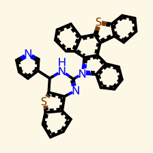 c1cncc(C2NC(n3c4ccccc4c4c5c6ccccc6sc5c5ccccc5c43)=Nc3c2sc2ccccc32)c1